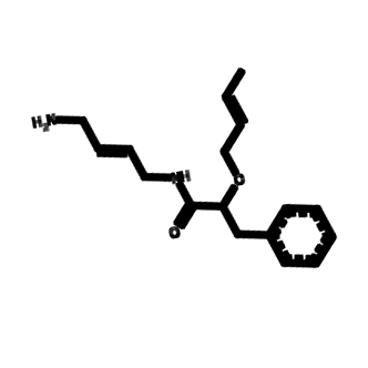 C/C=C/COC(Cc1ccccc1)C(=O)NC/C=C/CN